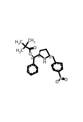 CC(C)(C)C(=O)O[C@H](c1ccccc1)[C@H]1CC[C@H](Cc2ccc([N+](=O)[O-])cc2)N1